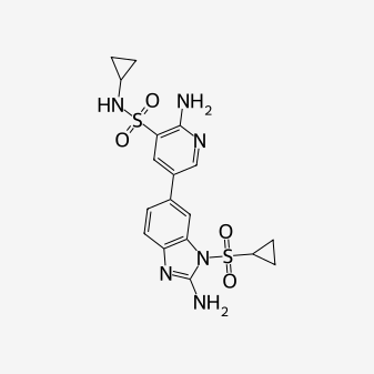 Nc1ncc(-c2ccc3nc(N)n(S(=O)(=O)C4CC4)c3c2)cc1S(=O)(=O)NC1CC1